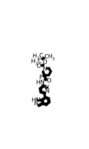 CC(C)(C)OC(=O)N1CCCC(F)(C(=O)Nc2ccc(-c3cccc4cn[nH]c34)nn2)C1